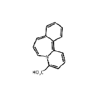 O=C(O)C1=CC=CC2=c3ccccc3=CC=CN12